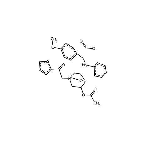 CC(=O)OC1C[N+]2(CC(=O)c3cccs3)CCC1CC2.COc1ccc(CNc2ccccc2)cc1.O=C[O-]